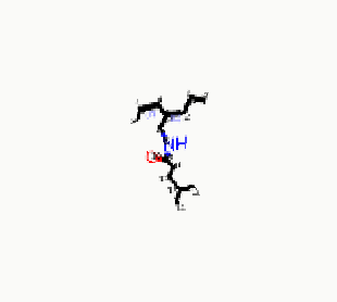 C=C/C=C(\C=C/C)CNC(=O)CCC(C)C